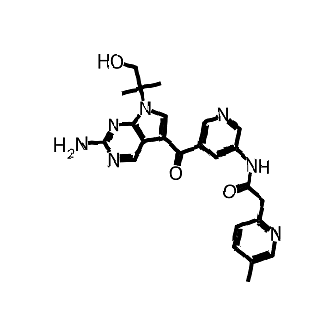 Cc1ccc(CC(=O)Nc2cncc(C(=O)c3cn(C(C)(C)CO)c4nc(N)ncc34)c2)nc1